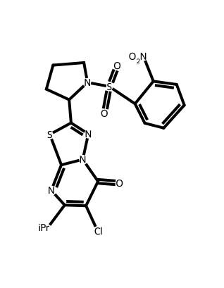 CC(C)c1nc2sc(C3CCCN3S(=O)(=O)c3ccccc3[N+](=O)[O-])nn2c(=O)c1Cl